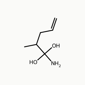 C=CCC(C)C(N)(O)O